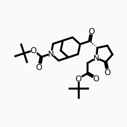 CC(C)(C)OC(=O)CN1C(=O)CC[C@H]1C(=O)C1CC2CC(C1)CN(C(=O)OC(C)(C)C)C2